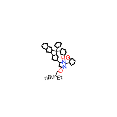 CCCCC(CC)COc1cc(-c2ccc3c(c2)C(c2ccccc2)(c2ccccc2)c2cc4ccccc4cc2-3)nc(-c2ccccc2O)n1